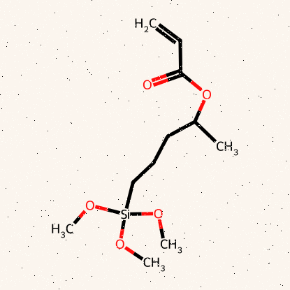 C=CC(=O)OC(C)CCC[Si](OC)(OC)OC